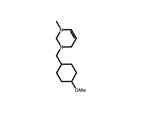 COC1CCC(CN2CC=CN(C)C2)CC1